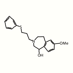 COc1ccc2c(c1)CCN(CCCSc1ccccc1)CC2O